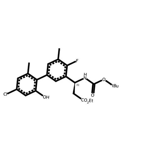 CCOC(=O)C[C@H](NC(=O)OC(C)(C)C)c1cc(-c2c(C)cc(Cl)cc2O)cc(C)c1F